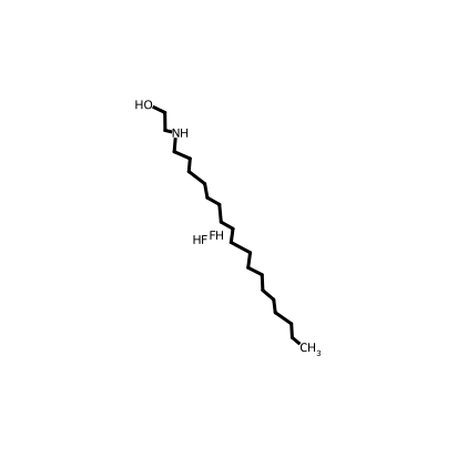 CCCCCCCCCCCCCCCCCCNCCO.F.F